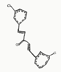 O=C(C=Cc1cccc(Cl)c1)C=Cc1cccc(Cl)c1